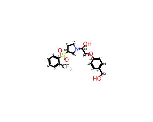 O=S(=O)(c1ccccc1C(F)(F)F)C1CCN(C(O)COc2ccc(CO)cc2)C1